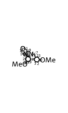 COc1cccc([C@@H](C)NCC2COCCN2c2cccc(OC)c2)c1